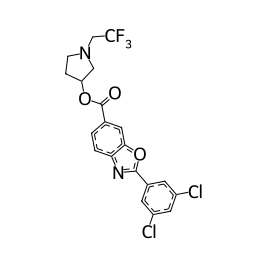 O=C(OC1CCN(CC(F)(F)F)C1)c1ccc2nc(-c3cc(Cl)cc(Cl)c3)oc2c1